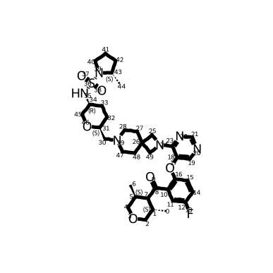 C[C@@H]1COC[C@@H](C)C1C(=O)c1cc(F)ccc1Oc1cncnc1N1CC2(CCN(C[C@@H]3CC[C@@H](NS(=O)(=O)N4CCC[C@@H]4C)CO3)CC2)C1